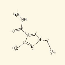 CCn1cc(C(=O)NN)c(C)n1